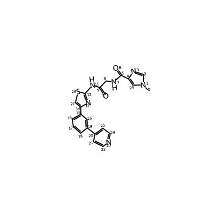 Cn1cnc(C(=O)NCC(=O)Nc2nc(-c3cccc(-c4ccncc4)c3)cs2)c1